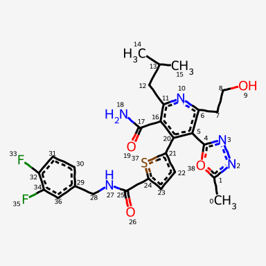 Cc1nnc(-c2c(CCO)nc(CC(C)C)c(C(N)=O)c2-c2ccc(C(=O)NCc3ccc(F)c(F)c3)s2)o1